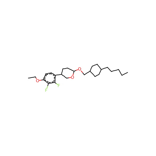 CCCCCC1CCC(COC2CCC(c3ccc(OCC)c(F)c3F)CO2)CC1